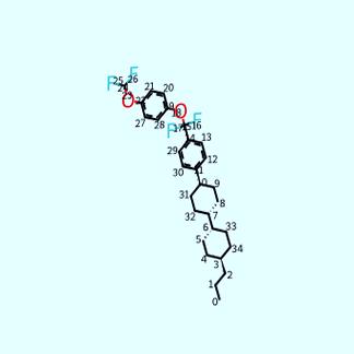 CCC[C@H]1CC[C@H]([C@H]2CC[C@H](c3ccc(C(F)(F)Oc4ccc(OC(F)F)cc4)cc3)CC2)CC1